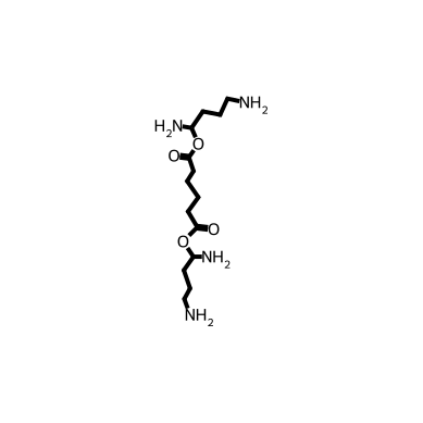 NCCCC(N)OC(=O)CCCCC(=O)OC(N)CCCN